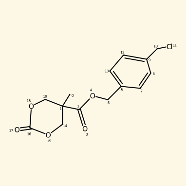 CC1(C(=O)OCc2ccc(CCl)cc2)COC(=O)OC1